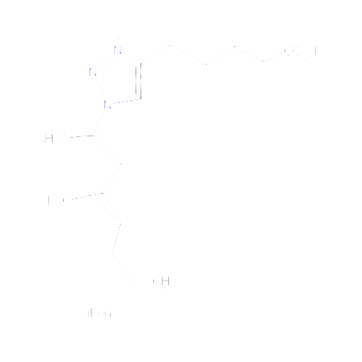 CCC[C@H](C)[C@@H](C)C/C=C(\C)CC(C)n1cc(CCCCC(=O)O)nn1